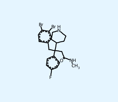 CNC(=O)CC(Cc1ccc(Br)c(Br)c1)(c1ccc(F)cc1)C1CCNCC1